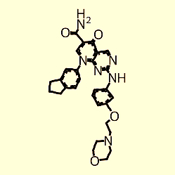 NC(=O)c1cn(-c2ccc3c(c2)CCC3)c2nc(Nc3cccc(OCCN4CCOCC4)c3)ncc2c1=O